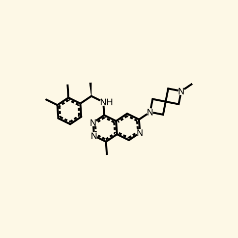 Cc1cccc([C@@H](C)Nc2nnc(C)c3cnc(N4CC5(CN(C)C5)C4)cc23)c1C